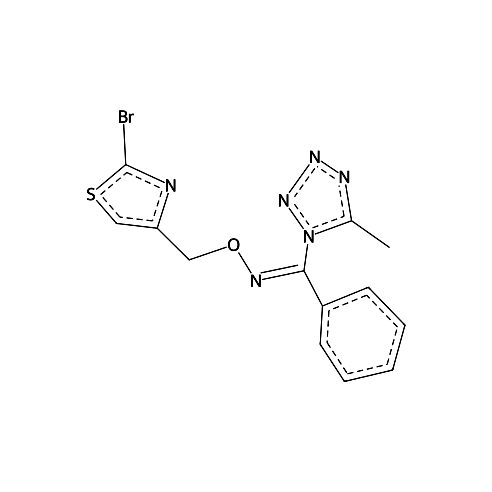 Cc1nnnn1C(=NOCc1csc(Br)n1)c1ccccc1